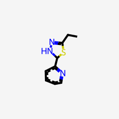 CCC1=NNC(c2ccccn2)S1